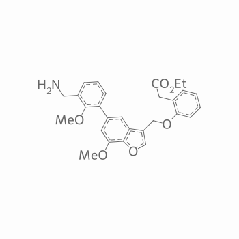 CCOC(=O)Cc1ccccc1OCc1coc2c(OC)cc(-c3cccc(CN)c3OC)cc12